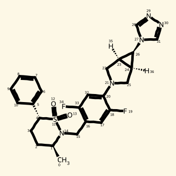 C[C@H]1CC[C@H](c2ccccc2)S(=O)(=O)N1Cc1cc(F)c(N2C[C@@H]3[C@H](C2)[C@@H]3n2cnnc2)cc1F